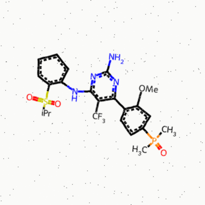 COc1cc(P(C)(C)=O)ccc1-c1nc(N)nc(Nc2ccccc2S(=O)(=O)C(C)C)c1C(F)(F)F